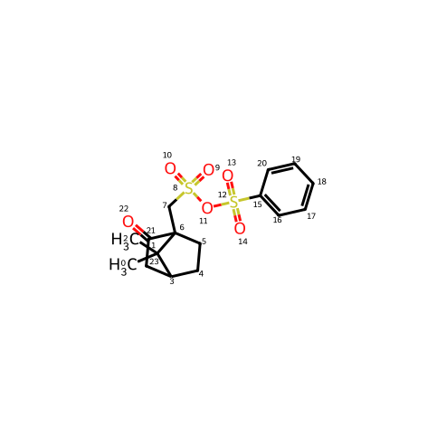 CC1(C)C2CCC1(CS(=O)(=O)OS(=O)(=O)c1ccccc1)C(=O)C2